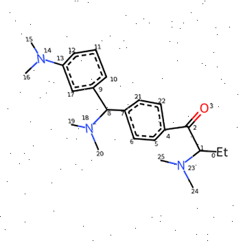 CCC(C(=O)c1ccc(C(c2cc[c]c(N(C)C)c2)N(C)C)cc1)N(C)C